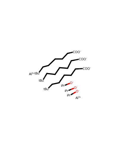 CC(C)(C)CCCCCC(=O)[O-].CC(C)(C)CCCCCC(=O)[O-].CC(C)(C)CCCCCC(=O)[O-].CC(C)[O-].CC(C)[O-].CC(C)[O-].[Al+3].[Al+3]